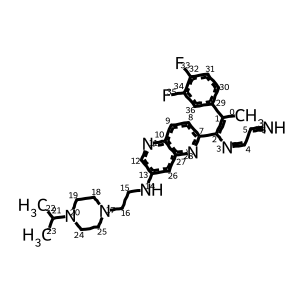 C/C(=C(\N=C/C=N)c1ccc2ncc(NCCN3CCN(C(C)C)CC3)cc2n1)c1ccc(F)c(F)c1